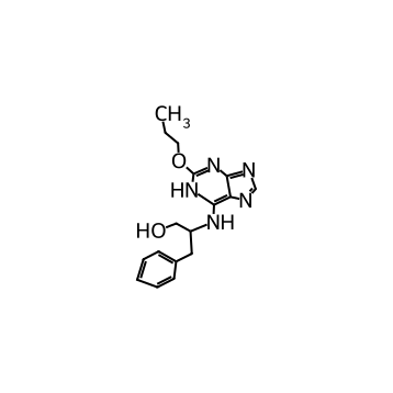 CCCOc1nc2ncnc-2c(NC(CO)Cc2ccccc2)[nH]1